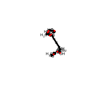 Cc1nc(Nc2ncc(C(=O)Nc3c(C)cccc3Cl)s2)cc(N2CCN(C(=O)CCCCCCCCCCCCCCC(=O)N[C@H](C(=O)N3C[C@H](O)C[C@H]3C(=O)NCc3ccc(-c4scnc4C)cc3)C(C)(C)C)CC2)n1